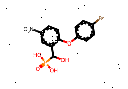 O=[N+]([O-])c1ccc(Oc2ccc(Br)cc2)c(C(O)P(=O)(O)O)c1